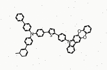 CC1C=C(c2ccc(N(c3ccc(-c4ccccc4)cc3)c3ccc(-c4ccc(-c5ccc(-n6c7ccccc7c7cc8c(cc76)Oc6ccccc6O8)cc5)s4)cc3)cc2)C=CC1